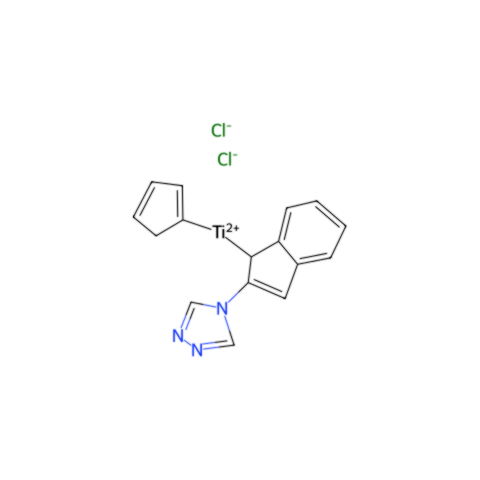 C1=CC[C]([Ti+2][CH]2C(n3cnnc3)=Cc3ccccc32)=C1.[Cl-].[Cl-]